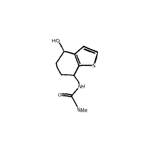 CNC(=O)NC1CCC(O)c2ccsc21